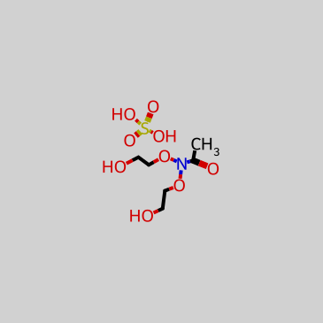 CC(=O)N(OCCO)OCCO.O=S(=O)(O)O